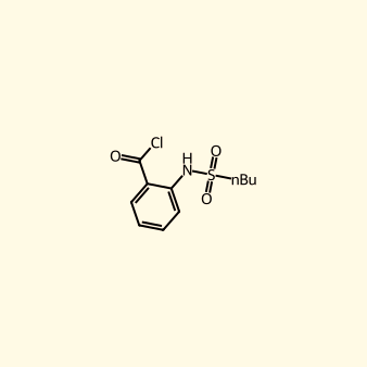 CCCCS(=O)(=O)Nc1ccccc1C(=O)Cl